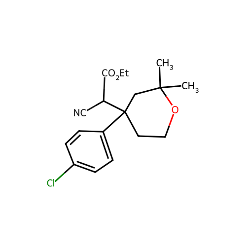 CCOC(=O)C(C#N)C1(c2ccc(Cl)cc2)CCOC(C)(C)C1